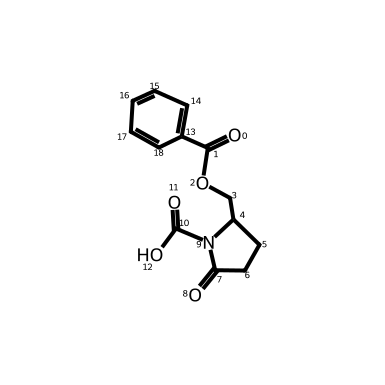 O=C(OCC1CCC(=O)N1C(=O)O)c1ccccc1